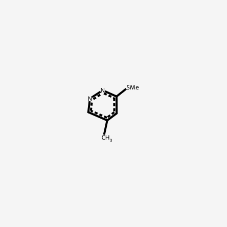 CSc1cc(C)cnn1